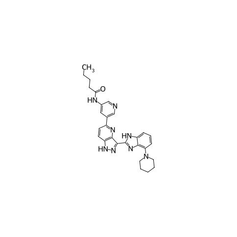 CCCCC(=O)Nc1cncc(-c2ccc3[nH]nc(-c4nc5c(N6CCCCC6)cccc5[nH]4)c3n2)c1